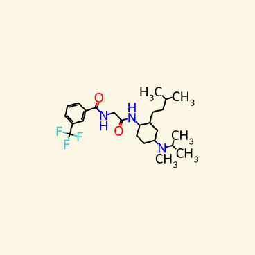 CC(C)CCC1CC(N(C)C(C)C)CCC1NC(=O)CNC(=O)c1cccc(C(F)(F)F)c1